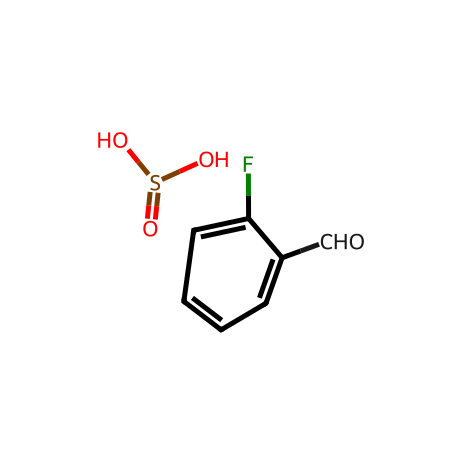 O=Cc1ccccc1F.O=S(O)O